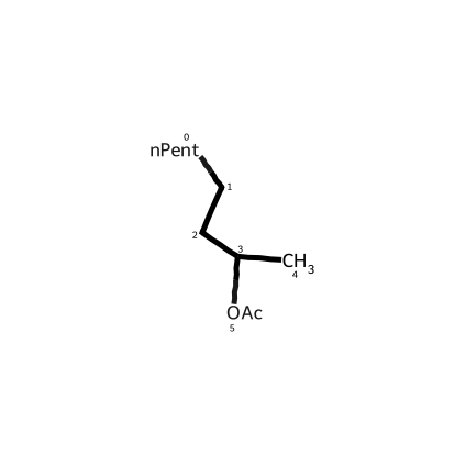 CCCCCCCC(C)OC(C)=O